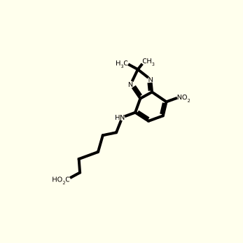 CC1(C)N=c2c(NCCCCCC(=O)O)ccc([N+](=O)[O-])c2=N1